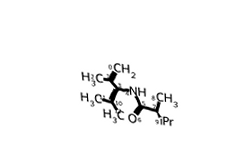 C=C(C)C(NC(=O)[C@@H](C)C(C)C)=C(C)C